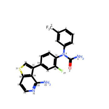 NC(=O)N(c1cccc(C(F)(F)F)c1)c1ccc(-c2csc3ccnc(N)c23)cc1F